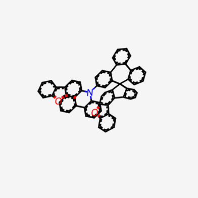 c1ccc(-c2ccccc2N(c2ccc3c(c2)C2(c4ccccc4-c4ccccc4-3)c3ccccc3-c3c2ccc2oc4ccccc4c32)c2ccc3c(c2)oc2ccccc23)cc1